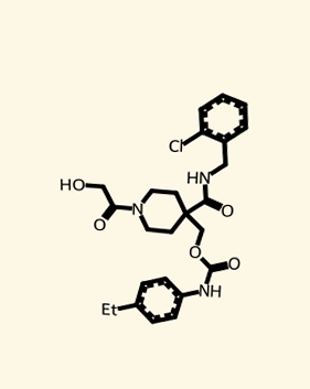 CCc1ccc(NC(=O)OCC2(C(=O)NCc3ccccc3Cl)CCN(C(=O)CO)CC2)cc1